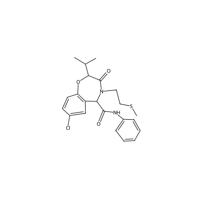 CSCCN1C(=O)C(C(C)C)Oc2ccc(Cl)cc2C1C(=O)Nc1ccccc1